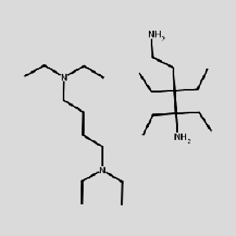 CCC(N)(CC)C(CC)(CC)CCN.CCN(CC)CCCCN(CC)CC